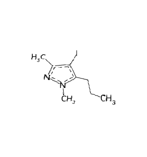 CCCc1c(I)c(C)nn1C